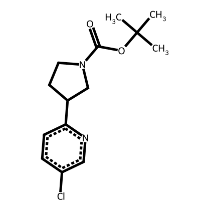 CC(C)(C)OC(=O)N1CCC(c2ccc(Cl)cn2)C1